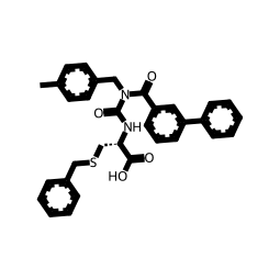 Cc1ccc(CN(C(=O)N[C@@H](CSCc2ccccc2)C(=O)O)C(=O)c2cccc(-c3ccccc3)c2)cc1